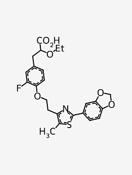 CCOC(Cc1ccc(OCCc2nc(-c3ccc4c(c3)OCO4)sc2C)c(F)c1)C(=O)O